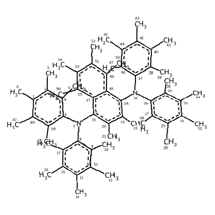 Cc1c(C)c(C)c(N(c2c(C)c(C)c(C)c(C)c2C)c2c(C)c(C)c(N(c3c(C)c(C)c(C)c(C)c3C)c3c(C)c(C)c(C)c(C)c3C)c3c(C)c(C)c(C)c(C)c23)c(C)c1C